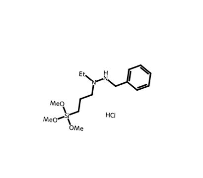 CCN(CCC[Si](OC)(OC)OC)NCc1ccccc1.Cl